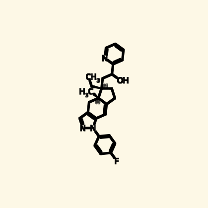 CC[C@@]1(CC(O)c2ccccn2)CCC2=Cc3c(cnn3-c3ccc(F)cc3)C[C@@]21C